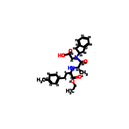 CCOC(=O)C(CCc1ccc(C)cc1)N[C@@H](C)C(=O)N(CC(=O)O)C1Cc2ccccc2C1